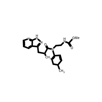 COC(=O)NCCN(C(=O)C(C)Cc1n[nH]c2ncccc12)C1=CCC(C)C=C1